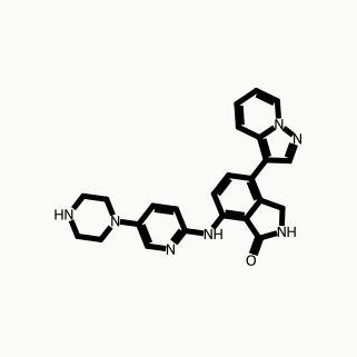 O=C1NCc2c(-c3cnn4ccccc34)ccc(Nc3ccc(N4CCNCC4)cn3)c21